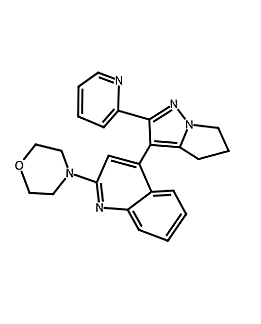 c1ccc(-c2nn3c(c2-c2cc(N4CCOCC4)nc4ccccc24)CCC3)nc1